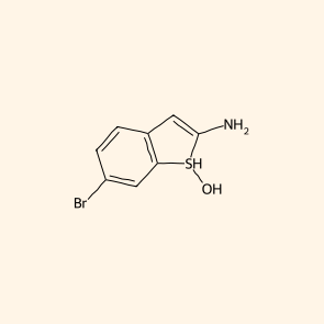 NC1=Cc2ccc(Br)cc2[SH]1O